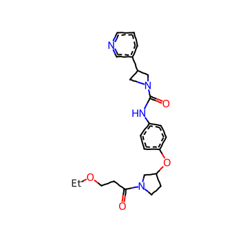 CCOCCC(=O)N1CCC(Oc2ccc(NC(=O)N3CC(c4cccnc4)C3)cc2)C1